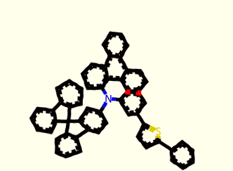 c1ccc(-c2ccc(-c3cccc(N(c4ccc5c(c4)C4(c6ccccc6-c6ccccc64)c4ccccc4-5)c4cccc5c6ccccc6c6ccccc6c45)c3)s2)cc1